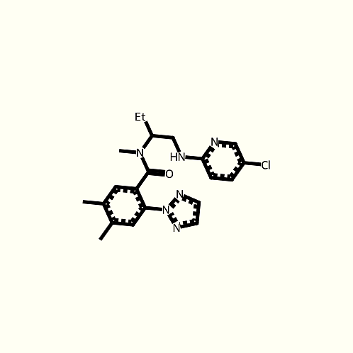 CCC(CNc1ccc(Cl)cn1)N(C)C(=O)c1cc(C)c(C)cc1-n1nccn1